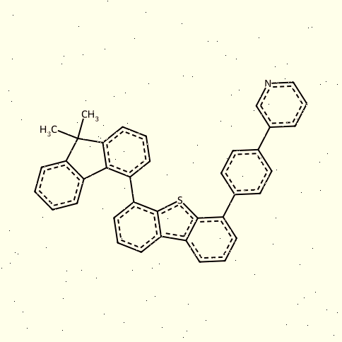 CC1(C)c2ccccc2-c2c(-c3cccc4c3sc3c(-c5ccc(-c6cccnc6)cc5)cccc34)cccc21